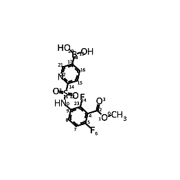 COC(=O)c1c(F)ccc(NS(=O)(=O)c2ccc(B(O)O)cn2)c1F